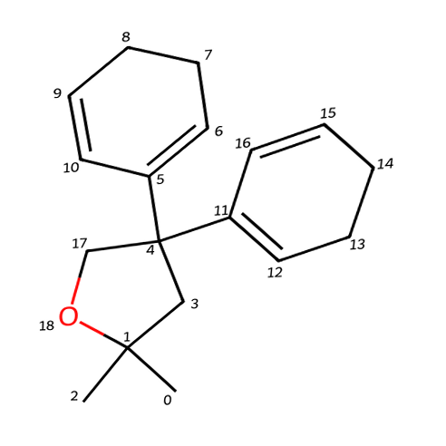 CC1(C)CC(C2=CCCC=C2)(C2=CCCC=C2)CO1